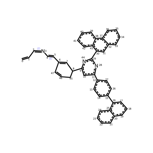 C=C/C=N\C=C\C1=CC(c2cc(-c3ccc(-c4cccc5ccccc45)cc3)nc(-c3cc4ccccc4c4ccccc34)n2)CC=C1